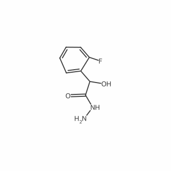 NNC(=O)C(O)c1ccccc1F